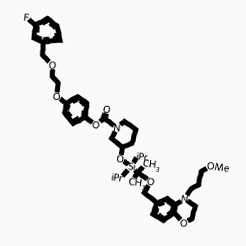 COCCCN1CCOc2ccc(COC(C)(C)[Si](OC3CCCN(C(=O)Oc4ccc(OCCOCc5cccc(F)c5)cc4)C3)(C(C)C)C(C)C)cc21